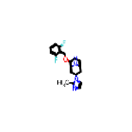 Cc1nccn1C1CC2CCC(OCc3c(F)cccc3F)C(C1)N2